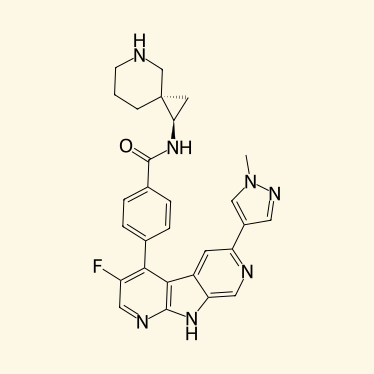 Cn1cc(-c2cc3c(cn2)[nH]c2ncc(F)c(-c4ccc(C(=O)N[C@@H]5C[C@@]56CCCNC6)cc4)c23)cn1